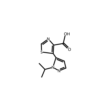 CC(C)n1nccc1-c1scnc1C(=O)O